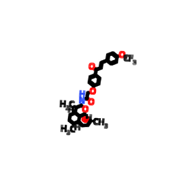 C[C@H]1[C@H](NC(=O)COc2ccc(C(=O)/C=C/c3ccc(OC(F)(F)F)cc3)cc2)O[C@@H]2O[C@@]3(C)CC[C@H]4[C@H](C)CC[C@@H]1[C@@]24OO3